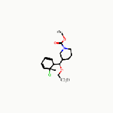 CCOC(=O)CO[C@H](C1CCCN(C(=O)OC(C)(C)C)C1)C1C=CC=CC1(C)Cl